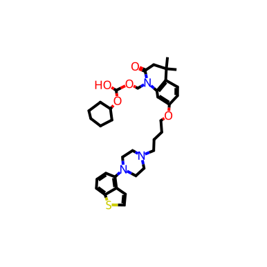 CC1(C)CC(=O)N(COC(O)OC2CCCCC2)c2cc(OCCCCN3CCN(c4cccc5sccc45)CC3)ccc21